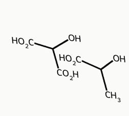 CC(O)C(=O)O.O=C(O)C(O)C(=O)O